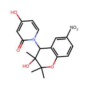 CC1(C)Oc2ccc([N+](=O)[O-])cc2C(n2ccc(O)cc2=O)C1(C)O